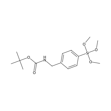 CO[Si](OC)(OC)c1ccc(CNC(=O)OC(C)(C)C)cc1